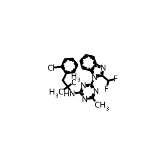 Cc1nc(NC(C)(C)Cc2ccccc2Cl)nc(-n2c(C(F)F)nc3ccccc32)n1